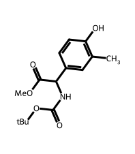 COC(=O)C(NC(=O)OC(C)(C)C)c1ccc(O)c(C)c1